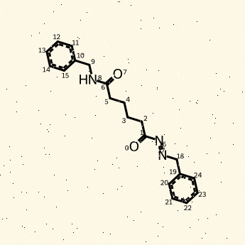 O=C(CCCCC(=O)NCc1ccccc1)N=NCc1ccccc1